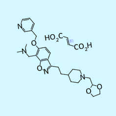 CN(C)Cc1c(OCc2cccnc2)ccc2c(CCC3CCN(CC4OCCO4)CC3)noc12.O=C(O)/C=C/C(=O)O